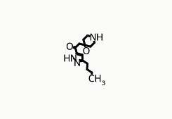 CCCCc1n[nH]c2c1OC1(CCNCC1)CC2=O